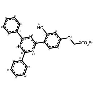 CCOC(=O)COc1ccc(-c2nc(-c3ccccc3)nc(-c3ccccc3)n2)c(O)c1